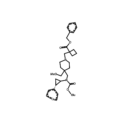 COCC1(CN(C(=O)OC(C)(C)C)C2C[C@H]2c2ccccc2)CCN(CC2(C(=O)OCc3ccccc3)CCC2)CC1